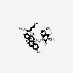 CC(C)CCCC(C)[C@H]1CC[C@H]2[C@@H]3CC=C4C[C@@H](O)CC[C@]4(C)[C@H]3CC[C@]12C.Cn1c(=O)c2c(ncn2C)n(C)c1=O